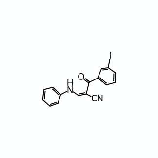 N#CC(=CNc1ccccc1)C(=O)c1cccc(I)c1